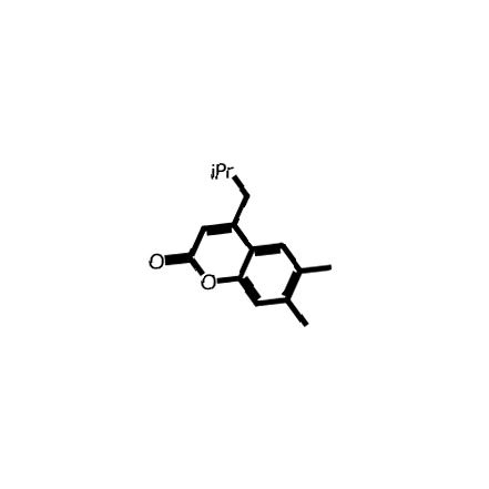 Cc1cc2oc(=O)cc(CC(C)C)c2cc1C